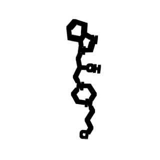 OC(CN1CCN(CCCCl)CC1)Cn1cnc2ccccc21